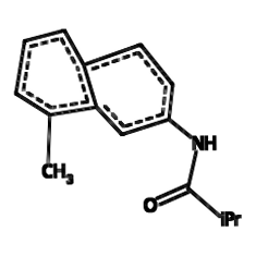 Cc1cccc2ccc(NC(=O)C(C)C)cc12